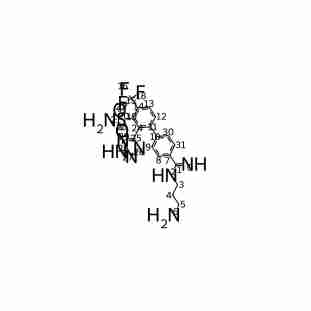 N=C(NCCCN)c1ccc(-c2ccc(C(F)(F)F)c(S(N)(=O)=O)c2-c2nn[nH]n2)cc1